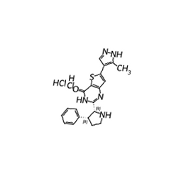 Cc1[nH]ncc1-c1cc2nc([C@@H]3NCC[C@@H]3c3ccccc3)[nH]c(=O)c2s1.Cl.Cl